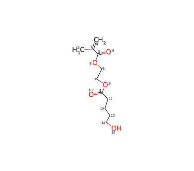 C=C(C)C(=O)OCCOC(=O)CCCCO